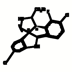 CCOC(=O)C1NC2(CCCC2)[C@@]2(C(=O)Nc3cc(Cl)ccc32)[C@H]1c1cccc(Cl)c1F